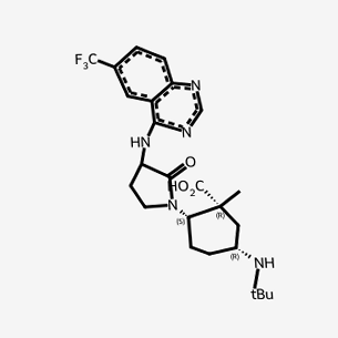 CC(C)(C)N[C@@H]1CC[C@H](N2CCC(Nc3ncnc4ccc(C(F)(F)F)cc34)C2=O)[C@](C)(C(=O)O)C1